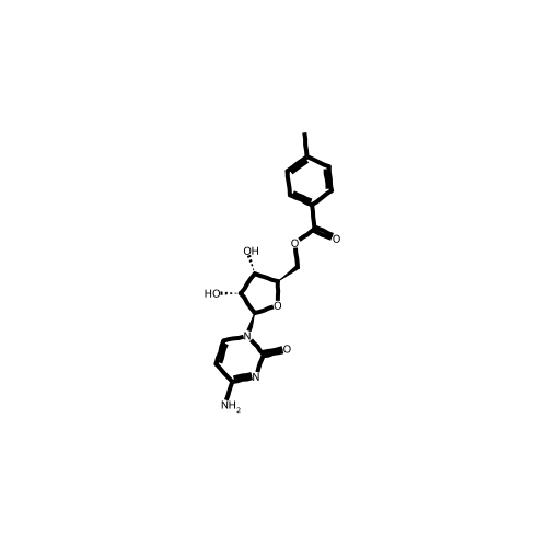 Cc1ccc(C(=O)OC[C@H]2O[C@@H](n3ccc(N)nc3=O)[C@H](O)[C@@H]2O)cc1